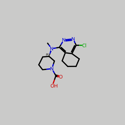 CN(c1nnc(Cl)c2c1CCCC2)[C@@H]1CCCN(C(=O)O)C1